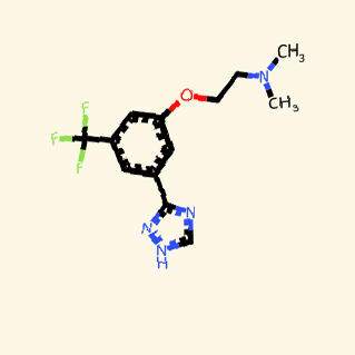 CN(C)CCOc1cc(-c2nc[nH]n2)cc(C(F)(F)F)c1